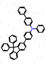 c1ccc(-c2ccc(N(c3ccccc3)c3ccc(-c4ccc5c(c4)C(c4ccccc4)(c4ccccc4)c4ccccc4-5)cc3)cc2)cc1